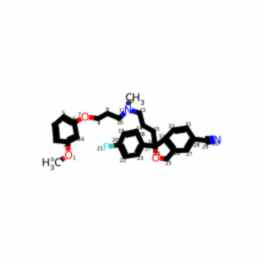 COc1cccc(OCCCN(C)CCCC2(c3ccc(F)cc3)OCc3cc(C#N)ccc32)c1